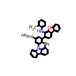 CCCCCc1cc(-c2ccc3c(oc4ccccc43)c2Nc2ccccc2C)c2c(c1)-n1c3ccccc3c3cccc(c31)B2